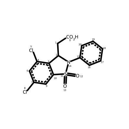 O=C(O)CC1c2c(Cl)cc(Cl)cc2S(=O)(=O)N1c1ccccc1